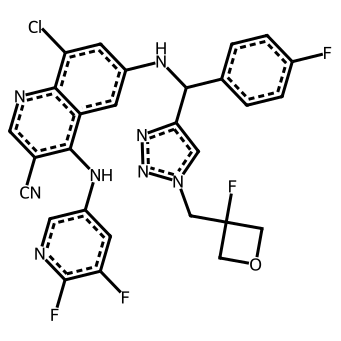 N#Cc1cnc2c(Cl)cc(NC(c3ccc(F)cc3)c3cn(CC4(F)COC4)nn3)cc2c1Nc1cnc(F)c(F)c1